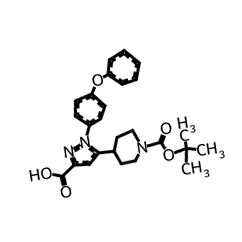 CC(C)(C)OC(=O)N1CCC(c2cc(C(=O)O)nn2-c2ccc(Oc3ccccc3)cc2)CC1